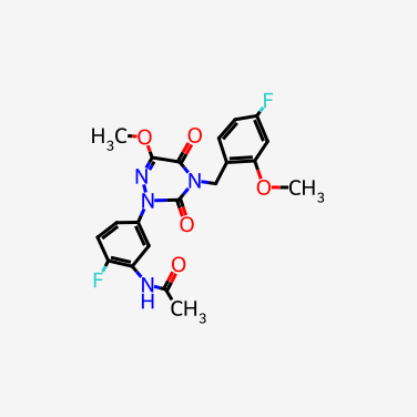 COc1cc(F)ccc1Cn1c(=O)c(OC)nn(-c2ccc(F)c(NC(C)=O)c2)c1=O